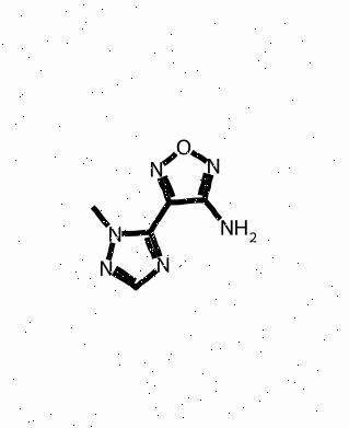 Cn1ncnc1-c1nonc1N